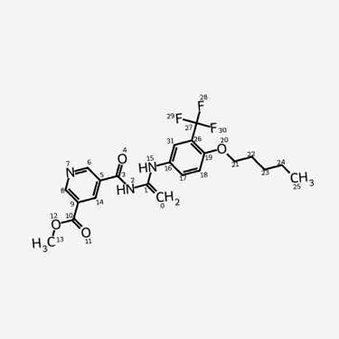 C=C(NC(=O)c1cncc(C(=O)OC)c1)Nc1ccc(OCCCCC)c(C(F)(F)F)c1